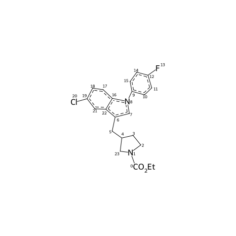 CCOC(=O)N1CCC(Cc2cn(-c3ccc(F)cc3)c3ccc(Cl)cc23)C1